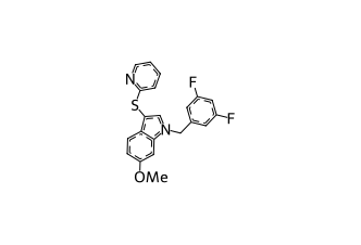 COc1ccc2c(Sc3ccccn3)cn(Cc3cc(F)cc(F)c3)c2c1